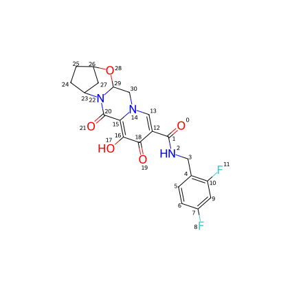 O=C(NCc1ccc(F)cc1F)c1cn2c(c(O)c1=O)C(=O)N1C3CCC(C3)OC1C2